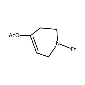 CCN1CC=C(OC(C)=O)CC1